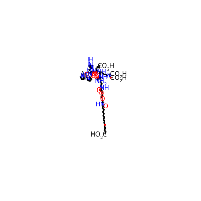 CC(=O)N1CCC[C@H]1C(=O)N1CCC[C@H]1C(=O)N[C@@H](Cc1c[nH]cn1)C(=O)N[C@@H](CCC(=O)O)C(=O)N[C@@H](CCCCN(CC(=O)O)CC(=O)O)C(=O)N[C@@H](CCCCNC(=O)COCCOCCNC(=O)CCCCCCCCCCCCCCC(=O)O)C(N)=O